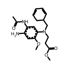 COC(=O)CCN(CC1C=CC=CC1)c1cc(NC(C)=O)c(N)cc1OC